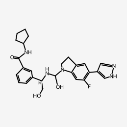 O=C(NC1CCCC1)c1cccc([C@H](CO)NC(O)N2CCc3cc(-c4cn[nH]c4)c(F)cc32)c1